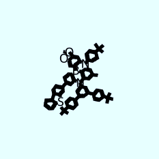 Cc1cc2c3c(c1)N(c1ccc(C(C)(C)C)cc1)c1cc4c(cc1B3c1ccc(-c3ccc5c(c3)sc3ccccc35)cc1N2c1cc(-c2ccc(C(C)(C)C)cc2)cc(-c2ccc(C(C)(C)C)cc2)c1)OCO4